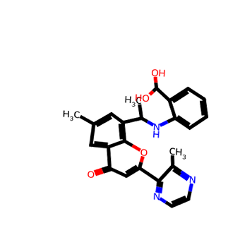 Cc1cc(C(C)Nc2ccccc2C(O)O)c2oc(-c3nccnc3C)cc(=O)c2c1